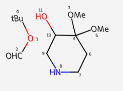 CC(C)(C)OC=O.COC1(OC)CCNCC1O